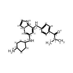 CN(C)C(=O)c1ccc(Nc2cc(NC3CCC(N)CC3)nn3ccnc23)cc1